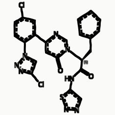 O=C(Nc1cnns1)[C@H](Cc1ccccc1)n1cnc(-c2cc(Cl)ccc2-n2cc(Cl)nn2)cc1=O